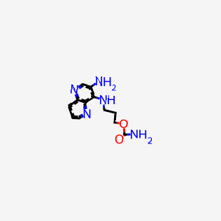 NC(=O)OCCCNc1c(N)cnc2cccnc12